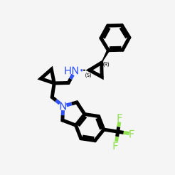 FC(F)(F)c1ccc2c(c1)CN(CC1(CN[C@H]3C[C@@H]3c3ccccc3)CC1)C2